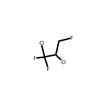 FCC(Cl)C(F)(F)Cl